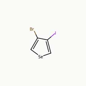 Brc1c[se]cc1I